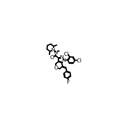 CC1CCCC(C)N1N(C)C(=O)c1nn(-c2ccc(Cl)cc2Cl)c2c1COC/C2=C\c1ccc(F)cc1